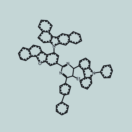 CCC1C(c2ccc(-c3ccccc3)cc2)=NC(c2cc(-n3c4cc5ccccc5cc4c4c5ccccc5ccc43)c3c(c2)oc2c4ccccc4ccc23)=NC1c1cccc2c1c1ccccc1n2-c1ccccc1